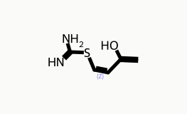 C=C(O)/C=C\SC(=N)N